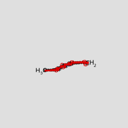 C=CC(=O)OCCCCCCCCCCCOC1CCC(/C=C/c2ccc(OC(=O)C#Cc3ccc(OCCCCCCCCCCC)cc3)cc2)CC1